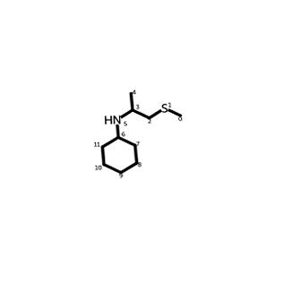 CSCC(C)NC1CCCCC1